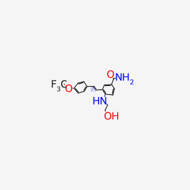 NC(=O)c1ccc(NCCO)c(/C=C/c2ccc(OC(F)(F)F)cc2)c1